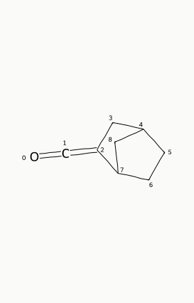 O=C=C1CC2CCC1C2